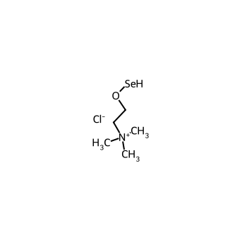 C[N+](C)(C)CCO[SeH].[Cl-]